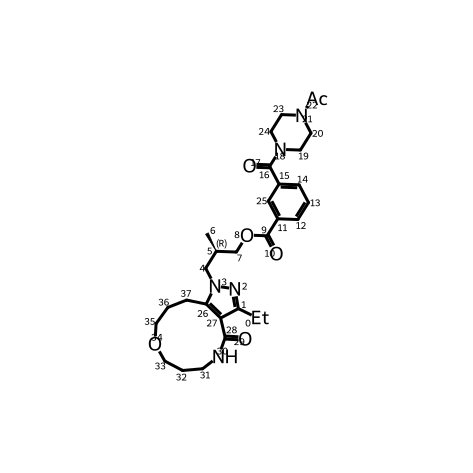 CCc1nn(C[C@@H](C)COC(=O)c2cccc(C(=O)N3CCN(C(C)=O)CC3)c2)c2c1C(=O)NCCCOCCC2